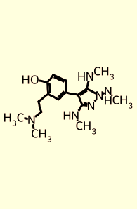 CNc1nn(NC)c(NC)c1-c1ccc(O)c(CCN(C)C)c1